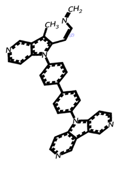 C=N/C=C\c1c(C)c2cnccc2n1-c1ccc(-c2ccc(-n3c4ccncc4c4cnccc43)cc2)cc1